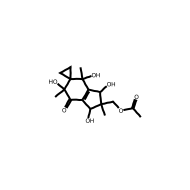 CC(=O)OCC1(C)C(O)C2=C(C1O)C(C)(O)C1(CC1)C(C)(O)C2=O